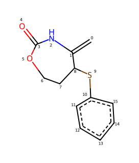 C=C1NC(=O)OCCC1Sc1ccccc1